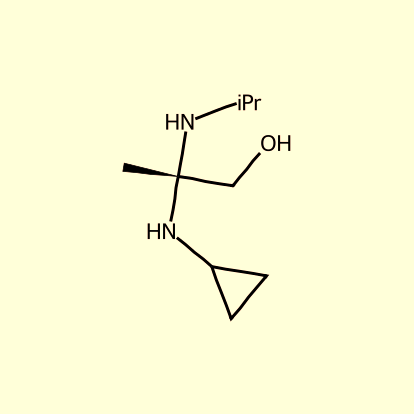 CC(C)N[C@](C)(CO)NC1CC1